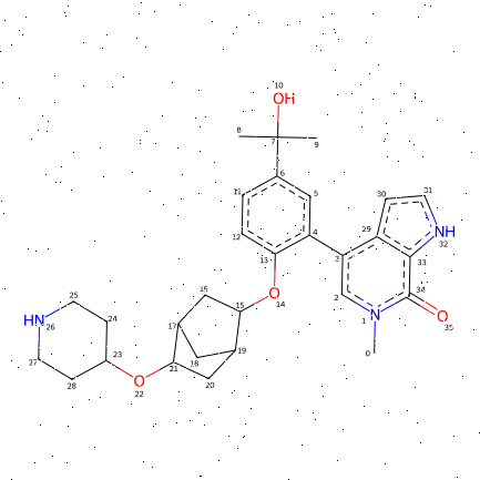 Cn1cc(-c2cc(C(C)(C)O)ccc2OC2CC3CC2CC3OC2CCNCC2)c2cc[nH]c2c1=O